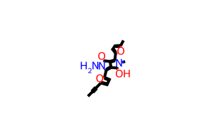 CC#Cc1ccc(C2=C3C(=C(c4ccc(C)o4)N(C)C3O)C(=O)N2N)o1